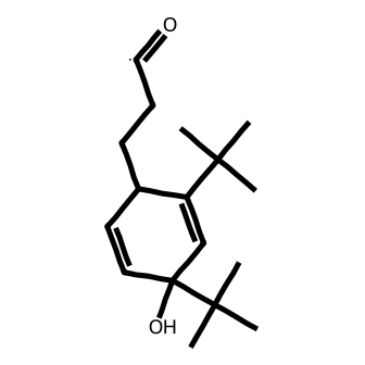 CC(C)(C)C1=CC(O)(C(C)(C)C)C=CC1CC[C]=O